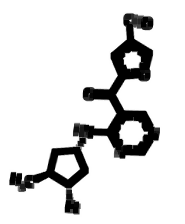 CC[C@H]1C[C@@H](Nc2ncncc2C(=O)c2cc(C=O)co2)C[C@@H]1C